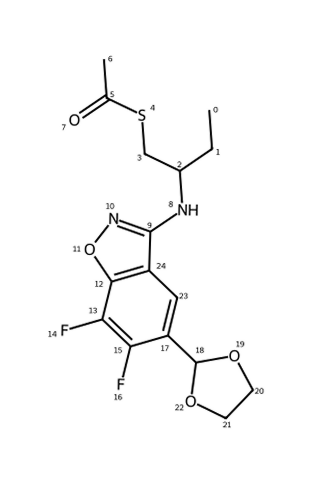 CCC(CSC(C)=O)Nc1noc2c(F)c(F)c(C3OCCO3)cc12